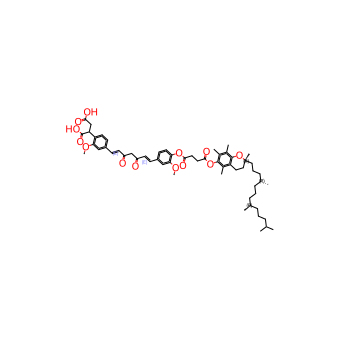 COc1cc(/C=C/C(=O)CC(=O)/C=C/c2ccc(C(CC(=O)O)C(=O)O)c(OC)c2)ccc1OC(=O)CCC(=O)Oc1c(C)c(C)c2c(c1C)CC[C@@](C)(CCC[C@H](C)CCC[C@H](C)CCCC(C)C)O2